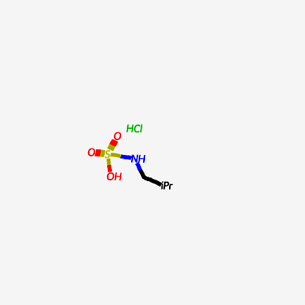 CC(C)CNS(=O)(=O)O.Cl